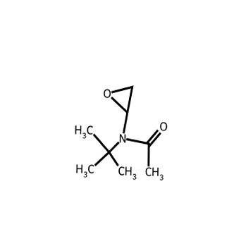 CC(=O)N(C1CO1)C(C)(C)C